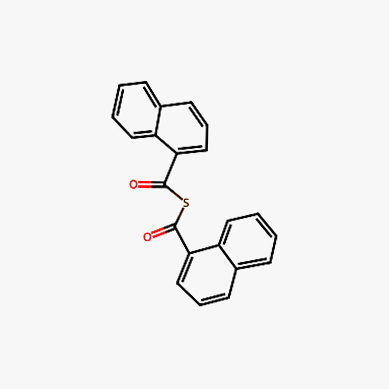 O=C(SC(=O)c1cccc2ccccc12)c1cccc2ccccc12